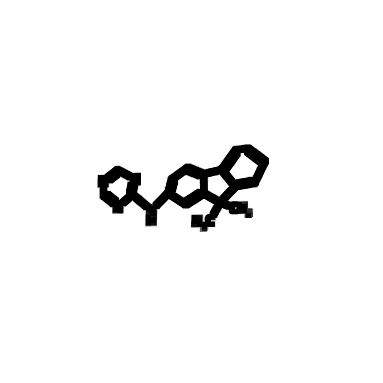 CC1(C)c2ccccc2-c2ccc(Nc3ncncn3)cc21